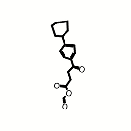 O=COC(=O)CCC(=O)c1ccc(C2CCCCC2)cc1